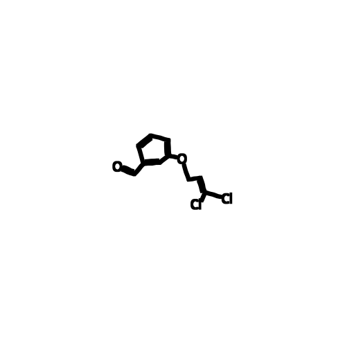 O=Cc1cccc(OCC=C(Cl)Cl)c1